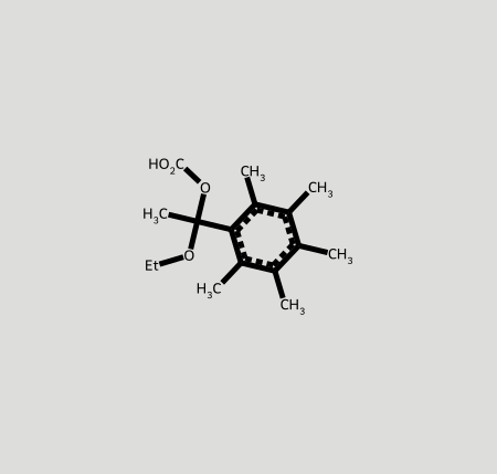 CCOC(C)(OC(=O)O)c1c(C)c(C)c(C)c(C)c1C